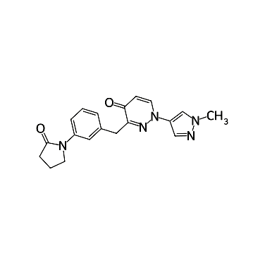 Cn1cc(-n2ccc(=O)c(Cc3cccc(N4CCCC4=O)c3)n2)cn1